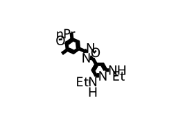 CCCOc1c(C)cc(-c2noc(-c3cc(NCC)nc(NCC)c3)n2)cc1C